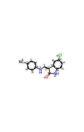 N#Cc1ccc(N/C=C2\C(=O)Nc3ccc(Cl)cc32)cc1